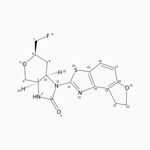 O=C1N[C@H]2CO[C@@H](CF)C[C@H]2N1c1nc2c3c(ccc2s1)OCC3